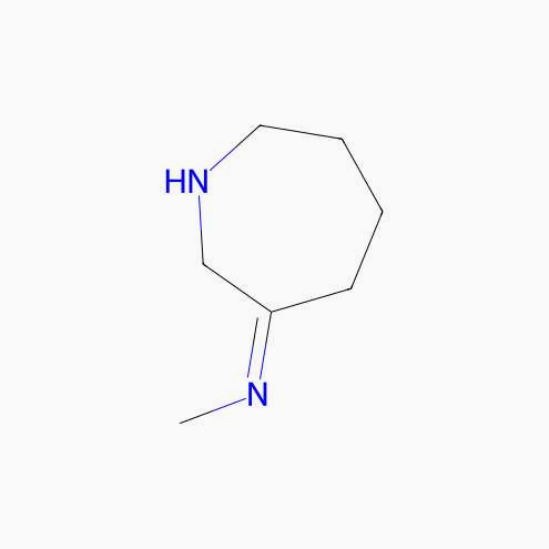 CN=C1CCCCNC1